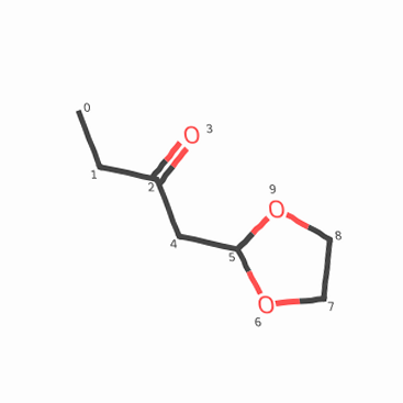 CCC(=O)CC1OCCO1